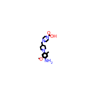 COc1cc(N2CCC(CN3CCN(C(=O)O)CC3)CC2)c(C)cc1N